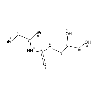 CC(C)CC(NC(=O)OCC(O)CO)C(C)C